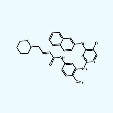 COc1ccc(NC(=O)/C=C/CN2CCCCC2)cc1Nc1ncc(Cl)c(Nc2ccc3ccccc3c2)n1